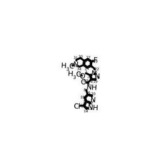 COCc1c(C(=O)NCc2cnc3[nH]cc(Cl)c3c2)cnn1Cc1cc2c(cc1F)CCN(C)C2